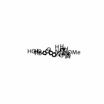 COC(=O)N[C@H](C(=O)N1C(c2nc3ccc4cc5c(cc4c3[nH]2)OCc2cc(BOC(C)(C)C(C)(C)O)ccc2-5)C[C@H]2C[C@H]21)C(C)C